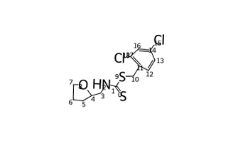 S=C(NCC1CCCO1)SCc1ccc(Cl)cc1Cl